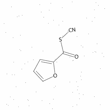 N#CSC(=O)c1ccco1